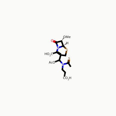 CO[C@H]1C(=O)N2C(C(=O)O)=C(C(OC(C)=O)N(CCC(=O)O)C(C)=S)CS[C@H]12